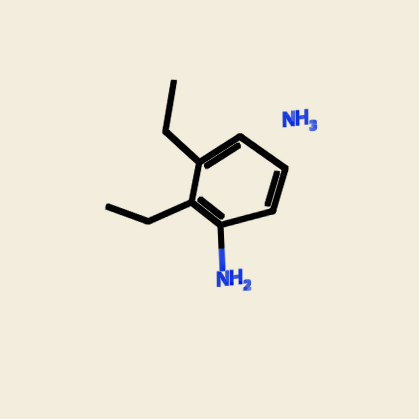 CCc1cccc(N)c1CC.N